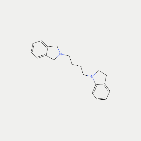 [CH](CCN1Cc2ccccc2C1)CN1CCc2ccccc21